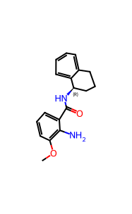 COc1cccc(C(=O)N[C@@H]2CCCc3ccccc32)c1N